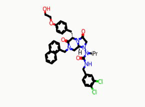 CC(C)N(C(=O)NCc1ccc(Cl)c(Cl)c1)N1CC(=O)N2[C@@H](Cc3ccc(OCCO)cc3)C(=O)N(Cc3cccc4ccccc34)C[C@@H]21